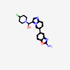 Nc1nc2cc(-c3ccc4ncc(C(O)N5CCC(F)CC5)n4c3)ccc2o1